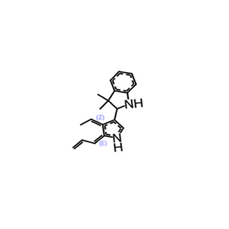 C=C/C=c1/[nH]cc(C2Nc3ccccc3C2(C)C)/c1=C/C